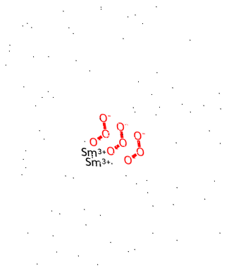 [O-]O[O-].[O-]O[O-].[O-]O[O-].[Sm+3].[Sm+3]